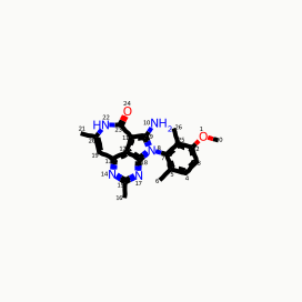 COc1ccc(C)c(-n2c(N)c3c4c(nc(C)nc42)C=C(C)NC3=O)c1C